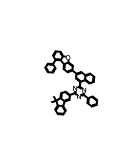 CC1(C)c2ccccc2-c2cc(-c3nc(-c4ccccc4)nc(-c4cc(-c5ccc6c(c5)oc5cccc(-c7ccccc7)c56)cc5ccccc45)n3)ccc21